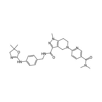 CN(C)C(=O)c1ccc(N2CCc3c(c(C(=O)NCc4ccc(NC5=NCC(C)(C)O5)cc4)nn3C)C2)nc1